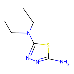 CCN(CC)c1nnc(N)s1